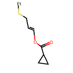 CCSCC=COC(=O)C1CC1